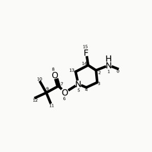 CNC1CCN(OC(=O)C(C)(C)C)CC1F